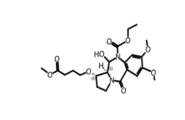 CCOC(=O)N1c2cc(OC)c(OC)cc2C(=O)N2CC[C@H](OCCCC(=O)OC)[C@H]2C1O